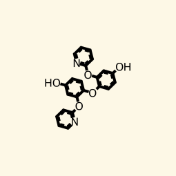 Oc1ccc(Oc2ccc(O)cc2Oc2ccccn2)c(Oc2ccccn2)c1